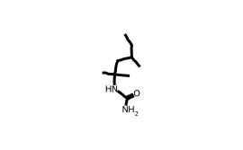 CCC(C)CC(C)(C)NC(N)=O